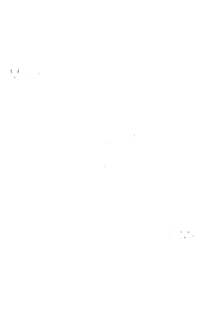 C#C/C=C(\C=C/COC)OC(=O)c1ccc(OC)cc1